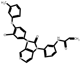 C=CC(=O)Nc1cccc(-n2c(=O)n(-c3ccc(Oc4cccc(C)c4)c(Cl)c3)c3cnccc32)c1